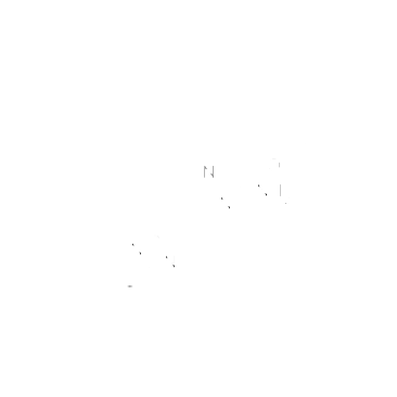 CCC1CCOC(Cc2nc3cc(-c4cn5cc(C(C)C)ccc5n4)ccn3c2N)C1